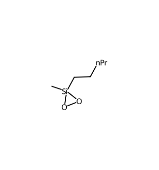 CCCCC[Si]1(C)OO1